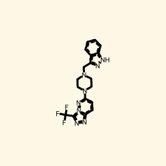 FC(F)(F)c1nnc2ccc(N3CCN(Cc4n[nH]c5ccccc45)CC3)nn12